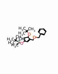 CC(C)(C)OC1CC(O[Si](C)(C)C(C)(C)C)C=C1COCc1ccccc1